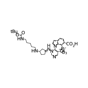 CC(C)(C)OC(=O)NCCCCCNC1CC[C@H](NN2CN=CC(C(F)(F)F)=C2n2ccc3ccc(C(=O)O)c(P(C)(C)=O)c32)C1